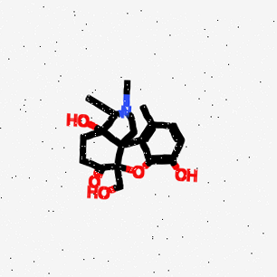 Cc1ccc(O)c2c1C13CCN(C)C(C)C1(O)CCC(=O)C3(CO)O2